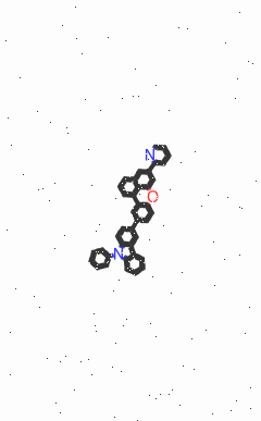 c1ccc(-n2c3ccccc3c3cc(-c4ccc5c(c4)-c4cccc6cc(-c7ccccn7)cc(c46)O5)ccc32)cc1